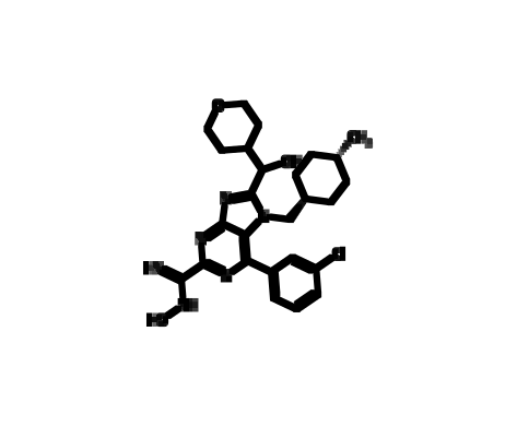 C[C@H]1CC[C@H](Cn2c(C(O)C3CCOCC3)nc3nc(C(=N)NO)nc(-c4cccc(Cl)c4)c32)CC1